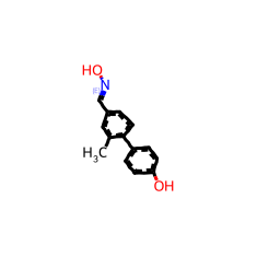 Cc1cc(/C=N/O)ccc1-c1ccc(O)cc1